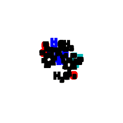 CC(=O)c1cc(Nc2ncc(C)c(Nn3c(=O)oc4ccccc43)n2)cc(C(F)(F)F)c1